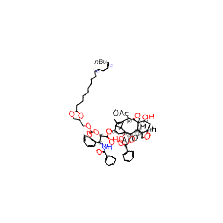 CCCC/C=C\C/C=C\CCCCCCCCC1OCC(COC(=O)O[C@@H](C(=O)O[C@H]2C[C@@]3(O)[C@@H](OC(=O)c4ccccc4)[C@@H]4[C@]5(OC(C)=O)CO[C@@H]5C[C@H](O)[C@@]4(C)C(=O)[C@H](OC(C)=O)C(=C2C)C3(C)C)[C@@H](NC(=O)c2ccccc2)c2ccccc2)O1